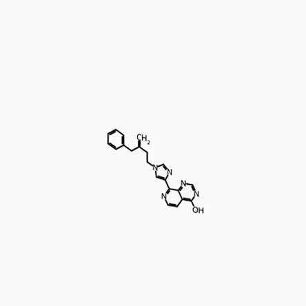 C=C(CCn1cnc(-c2nccc3c(O)ncnc23)c1)Cc1ccccc1